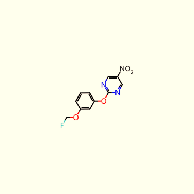 O=[N+]([O-])c1cnc(Oc2cccc(OCF)c2)nc1